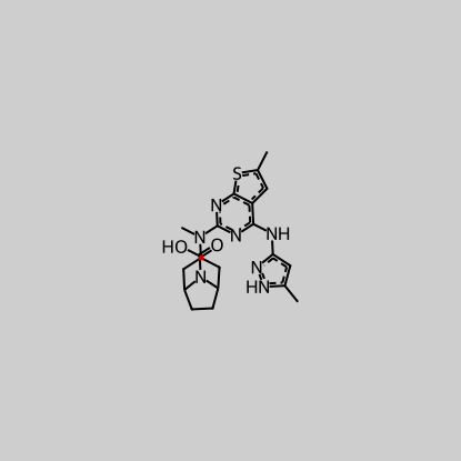 Cc1cc(Nc2nc(N(C)C3CC4CCC(C3)N4C(=O)O)nc3sc(C)cc23)n[nH]1